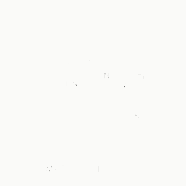 CCn1nc(NS(=O)(=O)c2ccccc2)c(-c2ccc(OC)c(F)c2)c1C#N